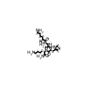 NCCCC[C@H](NC(=O)[C@H](Cc1cnc[nH]1)NC(=O)CNC(=O)[C@@H](N)CCCCN)C(N)=O